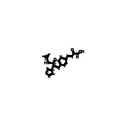 O=C(/C=C/c1ccc(C=C(C(=O)NC2CC2)c2ccsc2)cc1)NO